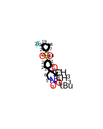 CC(C)(C)OC(=O)N1CCc2c(oc3cc(S(=O)(=O)c4cccc(F)c4)ccc23)C1(C)C